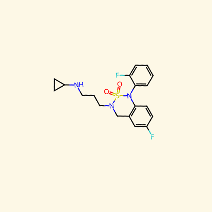 O=S1(=O)N(CCCNC2CC2)Cc2cc(F)ccc2N1c1ccccc1F